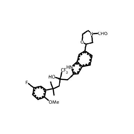 COc1ccc(F)cc1C(C)(C)CC(O)(Cc1cc2ccc(C3CN(C=O)CCO3)cc2[nH]1)C(F)(F)F